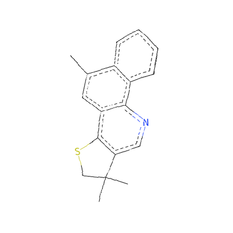 Cc1cc2c3c(cnc2c2ccccc12)C(C)(C)CS3